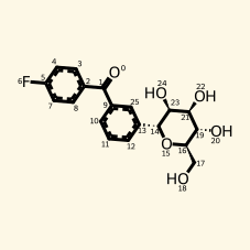 O=C(c1ccc(F)cc1)c1cccc([C@H]2O[C@H](CO)[C@@H](O)[C@H](O)[C@@H]2O)c1